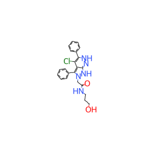 O=C(CN1NC2=NNC(c3ccccc3)=C(Cl)C2=C1c1ccccc1)NCCCO